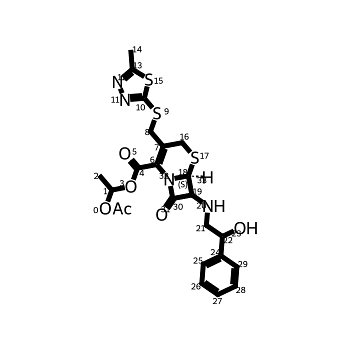 CC(=O)OC(C)OC(=O)C1=C(CSc2nnc(C)s2)CS[C@H]2C(NCC(O)c3ccccc3)C(=O)N12